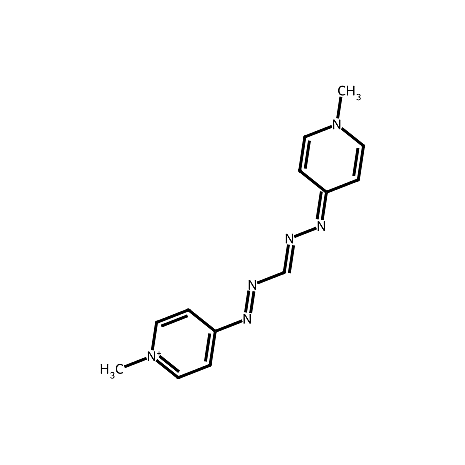 Cn1ccc(=NN=CN=Nc2cc[n+](C)cc2)cc1